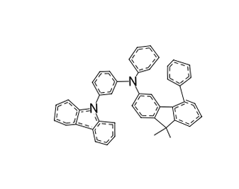 CC1(C)c2ccc(N(c3ccccc3)c3cccc(-n4c5ccccc5c5ccccc54)c3)cc2-c2c(-c3ccccc3)cccc21